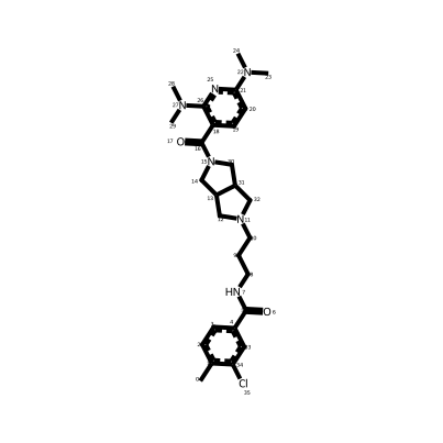 Cc1ccc(C(=O)NCCCN2CC3CN(C(=O)c4ccc(N(C)C)nc4N(C)C)CC3C2)cc1Cl